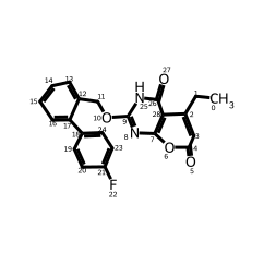 CCc1cc(=O)oc2nc(OCc3ccccc3-c3ccc(F)cc3)[nH]c(=O)c12